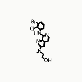 CN(CCO)c1cnc2c(Nc3cccc(Br)c3Cl)nccc2c1